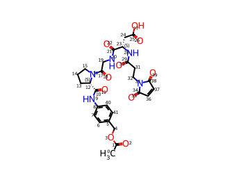 CC(=O)OCc1ccc(NC(=O)[C@@H]2CCCN2C(=O)CNC(=O)[C@H](CC(=O)O)NC(=O)CCN2C(=O)C=CC2=O)cc1